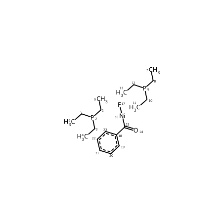 CCP(CC)CC.CCP(CC)CC.O=[C]([Ni][F])c1ccccc1